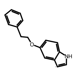 [c]1c[nH]c2ccc(OCCc3ccccc3)cc12